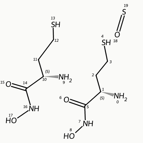 N[C@@H](CCS)C(=O)NO.N[C@@H](CCS)C(=O)NO.O=S